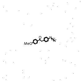 COc1ccc(C(=O)Cc2ccc(N=[N+]=[N-])cc2)cc1